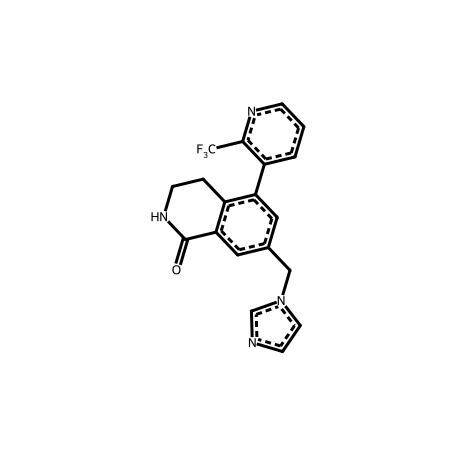 O=C1NCCc2c1cc(Cn1ccnc1)cc2-c1cccnc1C(F)(F)F